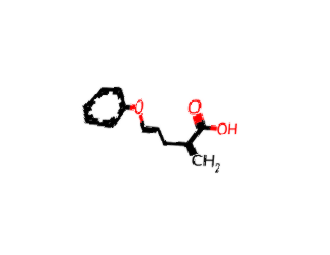 C=C(CC=COc1ccccc1)C(=O)O